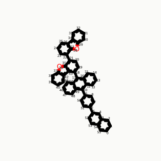 c1ccc2cc(-c3ccc(-c4c5ccccc5c(-c5ccc(-c6cccc7c6oc6ccccc67)c6oc7ccccc7c56)c5ccccc45)cc3)ccc2c1